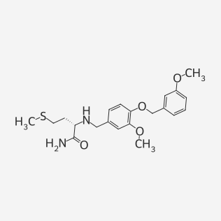 COc1cccc(COc2ccc(CN[C@@H](CCSC)C(N)=O)cc2OC)c1